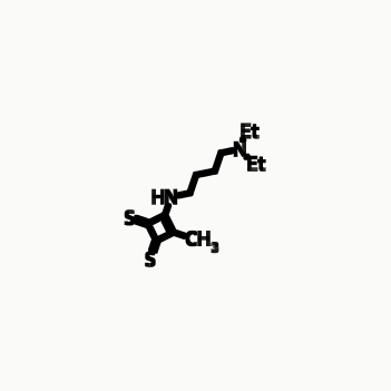 CCN(CC)CCCCNc1c(C)c(=S)c1=S